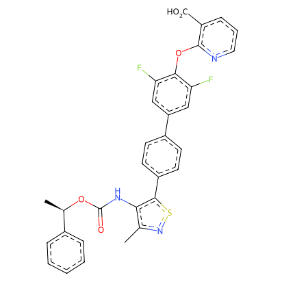 Cc1nsc(-c2ccc(-c3cc(F)c(Oc4ncccc4C(=O)O)c(F)c3)cc2)c1NC(=O)O[C@H](C)c1ccccc1